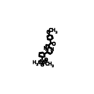 COc1ccc(C(=O)c2cnn3c(-c4cccc(N(C)S(C)(=O)=O)c4)ccnc23)cc1